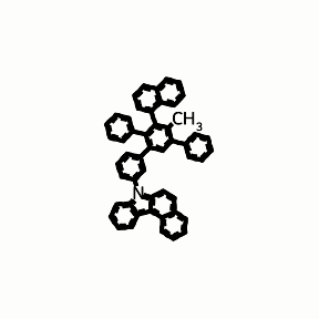 Cc1c(-c2ccccc2)cc(-c2cccc(-n3c4ccccc4c4c5ccccc5ccc43)c2)c(-c2ccccc2)c1-c1cccc2ccccc12